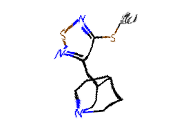 CCC(C)Sc1nsnc1C1CN2CCC1CC2